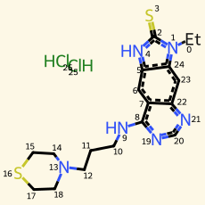 CCn1c(=S)[nH]c2cc3c(NCCCN4CCSCC4)ncnc3cc21.Cl.Cl